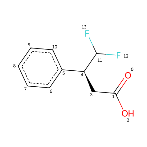 O=C(O)C[C@@H](c1ccccc1)C(F)F